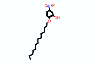 CCCCCCCCCCCCCCOc1ccc([N+](=O)[O-])cc1O